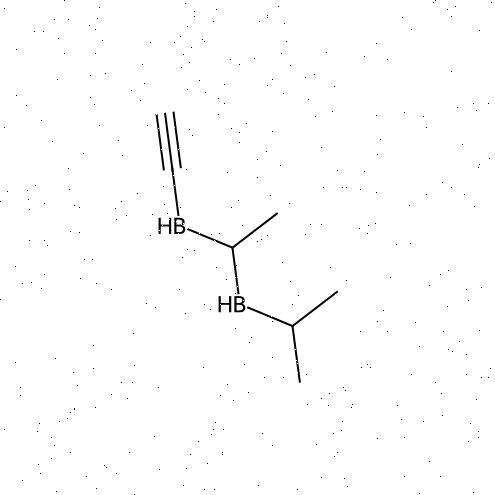 C#CBC(C)BC(C)C